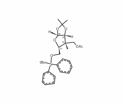 CC(=O)OC[C@]1(C)[C@@H](CO[Si](c2ccccc2)(c2ccccc2)C(C)(C)C)O[C@@H]2OC(C)(C)O[C@@H]21